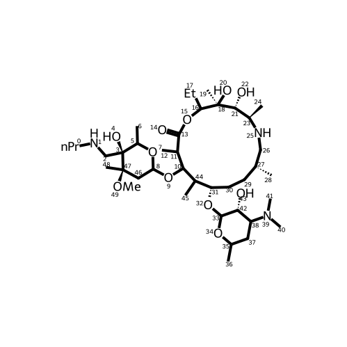 CCCNC[C@]1(O)C(C)OC(OC2C(C)C(=O)OC(CC)[C@@](C)(O)[C@H](O)[C@@H](C)NC[C@H](C)CC[C@H](OC3OC(C)CC(N(C)C)[C@H]3O)C2C)C[C@@]1(C)OC